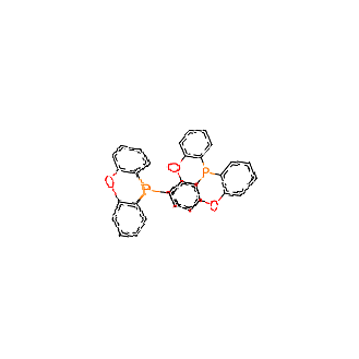 c1ccc(P2c3ccccc3Oc3ccccc32)c(Oc2ccccc2P2c3ccccc3Oc3ccccc32)c1